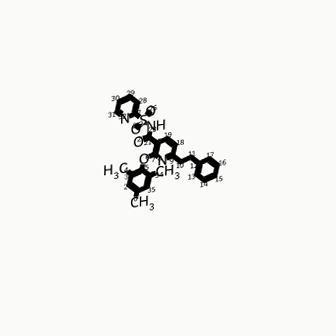 Cc1cc(C)c(Oc2nc(CCc3ccccc3)ccc2C(=O)NS(=O)(=O)c2ccccn2)c(C)c1